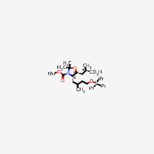 CC(CCO[Si](C(C)C)(C(C)C)C(C)C)C[C@H]1[C@H](C[C@@H](C)C(=O)O)OC(C)(C)N1C(=O)OC(C)(C)C